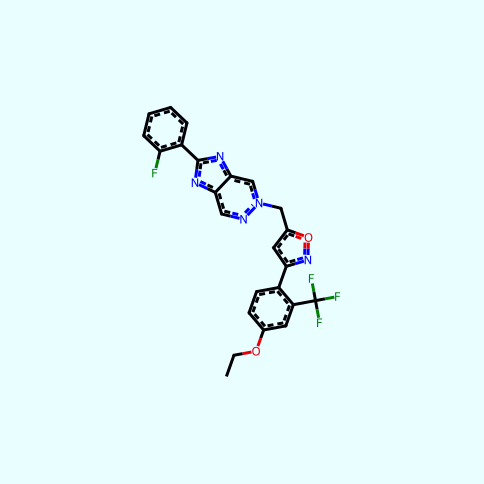 CCOc1ccc(-c2cc(Cn3cc4nc(-c5ccccc5F)nc-4cn3)on2)c(C(F)(F)F)c1